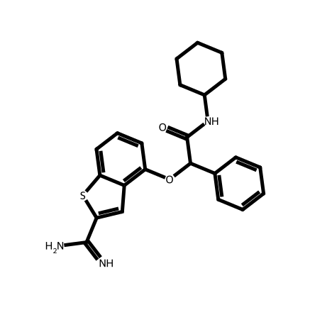 N=C(N)c1cc2c(OC(C(=O)NC3CCCCC3)c3ccccc3)cccc2s1